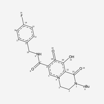 CCCCN1CCn2cc(C(=O)NCc3ccc(F)cc3)c(=O)c(O)c2C1=O